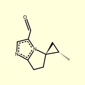 C[C@H]1C[C@]12CCc1ncc(C=O)n12